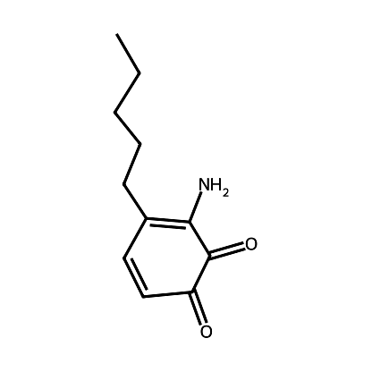 CCCCCC1=C(N)C(=O)C(=O)C=C1